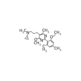 CCOc1cc(C)cc(C)c1-c1nc(C)c(CCCN(C)C2CC2)c(OC)n1